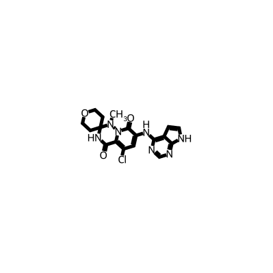 CN1n2c(c(Cl)cc(Nc3ncnc4[nH]ccc34)c2=O)C(=O)NC12CCOCC2